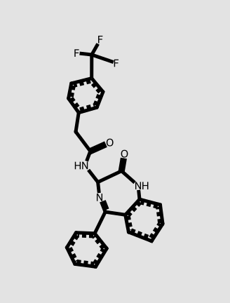 O=C(Cc1ccc(C(F)(F)F)cc1)NC1N=C(c2ccccc2)c2ccccc2NC1=O